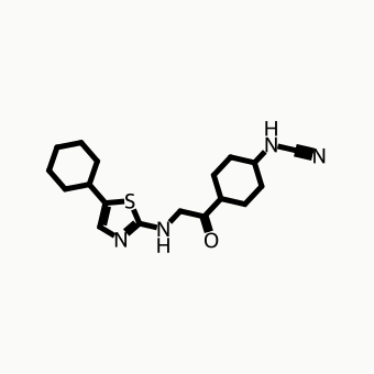 N#CNC1CCC(C(=O)CNc2ncc(C3CCCCC3)s2)CC1